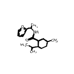 CC1CCC(C(C)C)C(C(=O)NC(C)c2ccco2)C1